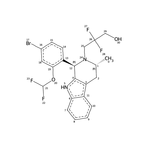 C[C@@H]1Cc2c([nH]c3ccccc23)[C@@H](c2ccc(Br)cc2OC(F)F)N1CC(F)(F)CO